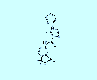 Cc1c(C(=O)Nc2ccc3c(c2)B(O)OC3(C)C)nnn1-c1ccccn1